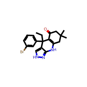 CCC1(c2cccc(Br)c2)C2=C(CC(C)(C)CC2=O)Nc2n[nH]cc21